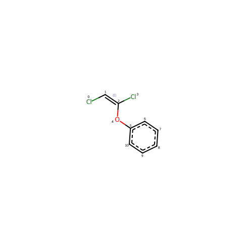 Cl/C=C(/Cl)Oc1ccccc1